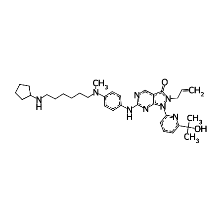 C=CCn1c(=O)c2cnc(Nc3ccc(N(C)CCCCCCNC4CCCC4)cc3)nc2n1-c1cccc(C(C)(C)O)n1